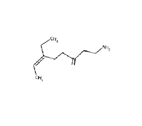 C/C=C(/CC)CCNCCN